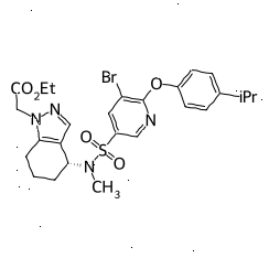 CCOC(=O)Cn1ncc2c1CCC[C@H]2N(C)S(=O)(=O)c1cnc(Oc2ccc(C(C)C)cc2)c(Br)c1